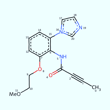 CC#CC(=O)Nc1c(OCCOC)cccc1-n1ccnc1